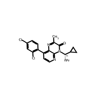 CCC[C@@H](C1CC1)n1c(=O)c(C)nc2c(-c3ccc(Cl)cc3Cl)ccnc21